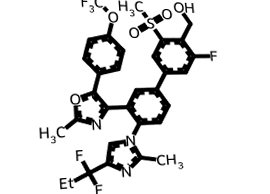 CCC(F)(F)c1cn(-c2ccc(-c3cc(F)c(CO)c(S(C)(=O)=O)c3)cc2-c2nc(C)oc2-c2ccc(OC(F)(F)F)cc2)c(C)n1